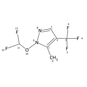 Cc1c(C(F)(F)F)[c]nn1OC(F)F